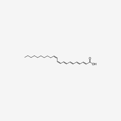 CCCCCCCCC\C=C/C=C\C=C\C=C\C=C\C=C\C(=O)O